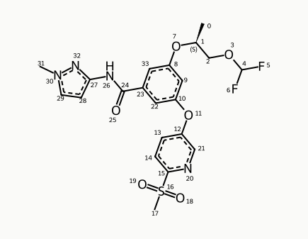 C[C@@H](COC(F)F)Oc1cc(Oc2ccc(S(C)(=O)=O)nc2)cc(C(=O)Nc2ccn(C)n2)c1